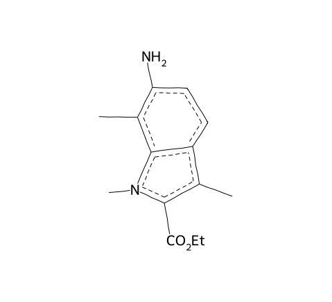 CCOC(=O)c1c(C)c2ccc(N)c(C)c2n1C